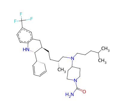 CC(C)CCCN(C[C@H](C)CC[C@@H]1Cc2cc(C(F)(F)F)ccc2N[C@H]1[C@H]1C=CC=CC1)C1CCN(C(N)=O)CC1